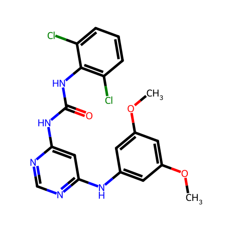 COc1cc(Nc2cc(NC(=O)Nc3c(Cl)cccc3Cl)ncn2)cc(OC)c1